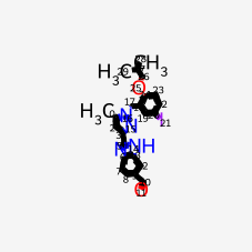 Cc1cc(-c2nc3ccc(C=O)cc3[nH]2)nn1Cc1cc(I)ccc1OCC(C)C